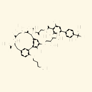 Cc1cc(-c2ccc(C(C)(C)C)cc2)nc(N)c1C(=O)NCC(=O)N(C)[C@@H]1C(=O)N[C@@H](C)C(=O)N[C@H](C(=O)O)Cc2ccc(OCCCN)c(c2)-c2cc1cc(OC[C@H](O)CN)c2O